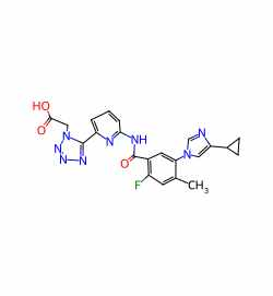 Cc1cc(F)c(C(=O)Nc2cccc(-c3nnnn3CC(=O)O)n2)cc1-n1cnc(C2CC2)c1